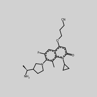 Cc1c(N2CCC([C@H](C)N)C2)c(F)cc2c(OCCCC#N)cc(=O)n(C3CC3)c12